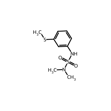 CSc1cccc(NS(=O)(=O)N(C)C)c1